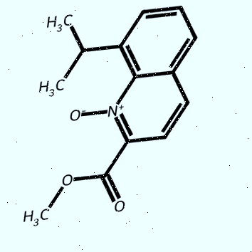 COC(=O)c1ccc2cccc(C(C)C)c2[n+]1[O-]